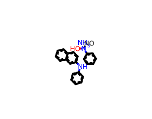 N.O=NN(O)c1ccccc1.c1ccc(Nc2ccc3ccccc3c2)cc1